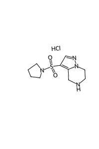 Cl.O=S(=O)(c1cnn2c1CNCC2)N1CCCC1